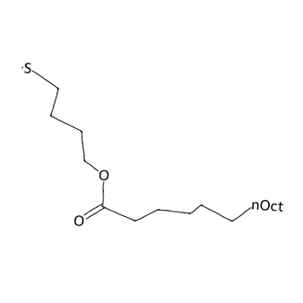 CCCCCCCCCCCCCC(=O)OCCCC[S]